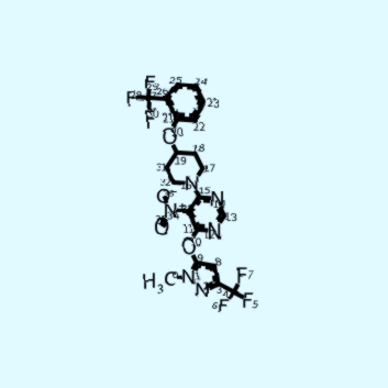 Cn1nc(C(F)(F)F)cc1Oc1ncnc(N2CCC(Oc3ccccc3C(F)(F)F)CC2)c1[N+](=O)[O-]